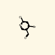 O=Cc1cnc(Cl)cc1Br